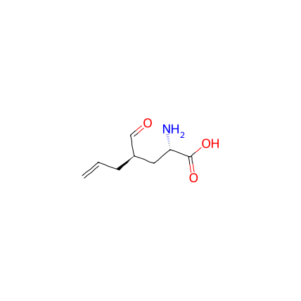 C=CC[C@@H](C=O)C[C@H](N)C(=O)O